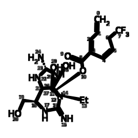 C=C/C=C(\C=C/CC(F)(F)F)C(=O)O[C@H]1[C@H](CC)N2C(=N)N[C@@H](CO)C3N[C@H](N)NC32C1(O)O